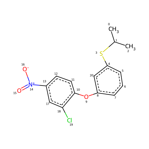 CC(C)Sc1cccc(Oc2ccc([N+](=O)[O-])cc2Cl)c1